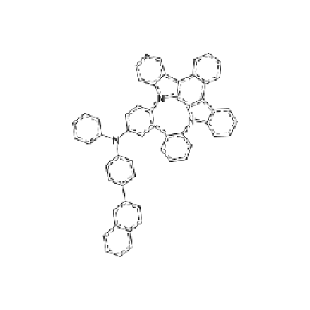 c1ccc(N(c2ccc(-c3ccc4ccccc4c3)cc2)c2ccc3c(c2)c2ccccc2n2c4ccccc4c4c5ccccc5c5c6ccccc6n3c5c42)cc1